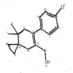 CC1(C)CC(c2ccc(Cl)cc2)=C(CO)CC12CC2